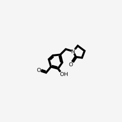 O=Cc1ccc(CN2CCCC2=O)cc1O